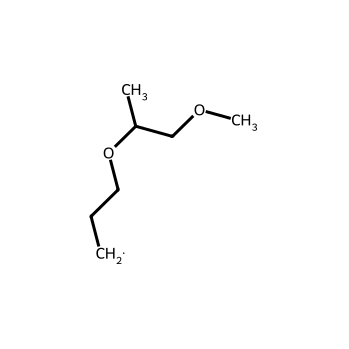 [CH2]CCOC(C)COC